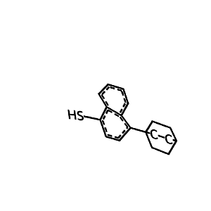 Sc1ccc(C23CCC(CC2)CC3)c2ccccc12